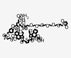 CC(C)C(NC(=O)CCOCCOCCOCCOCCOCCOCCN1C(=O)C=CC1=O)C(=O)NC(CCCNC(N)=O)C(=O)Nc1ccc(COC(=O)N(C)CCN(C)C(=O)Oc2cc3c(c4ccccc24)C(CCl)CN3C(=O)c2ccc(C(=O)N3CC(CCl)c4c3cc(OP(=O)(O)O)c3ccccc43)s2)cc1